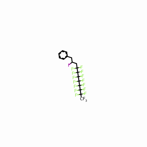 FC(F)(F)C(F)(F)C(F)(F)C(F)(F)C(F)(F)C(F)(F)C(F)(F)C(F)(F)CC(I)Cc1ccccc1